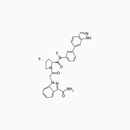 NC(=O)c1nn(CC(=O)N2C[C@H](F)C[C@H]2C(=O)N(F)c2cccc(-c3ccc4cn[nH]c4c3)c2)c2ccccc12